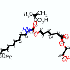 C=C(C)C(=O)O.CCCCCCCCCCCCCCCCCCNC(=O)OCCCCCC(=O)OCCO